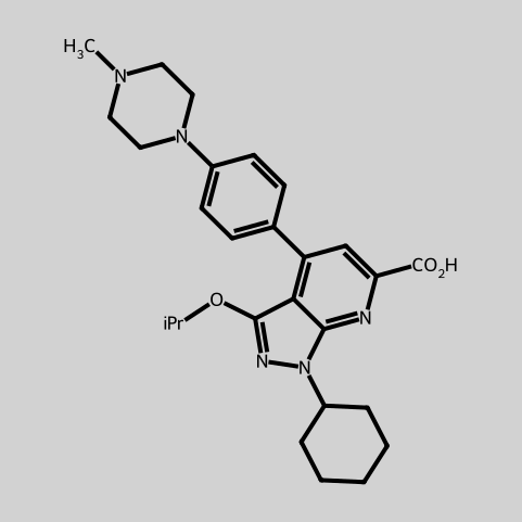 CC(C)Oc1nn(C2CCCCC2)c2nc(C(=O)O)cc(-c3ccc(N4CCN(C)CC4)cc3)c12